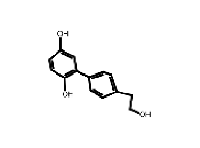 OCCc1ccc(-c2cc(O)ccc2O)cc1